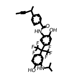 CC#CC(C)c1ccc(C(=O)Nc2cc(C(c3ccc(O)c(NC(C)C)c3)(C(F)(F)F)C(F)(F)F)ccc2O)cc1